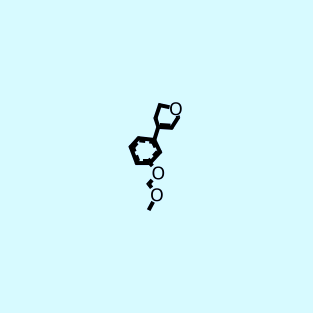 COCOc1cccc(C2=CCOCC2)c1